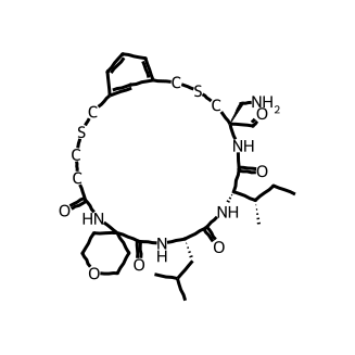 CC[C@H](C)[C@@H]1NC(=O)[C@H](CC(C)C)NC(=O)C2(CCOCC2)NC(=O)CCSCc2cccc(c2)CSC[C@@](C=O)(CN)NC1=O